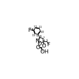 O=C(O)OC1(CF)CC(c2cccc(F)c2)=NO1